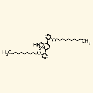 CCCCCCCCCCOc1ccsc1C1=CC=C(c2sccc2OCCCCCCCCCC)N2SNC=C12